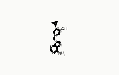 Nc1ncnc2c1ncn2CN1C[C@H](C2CC2)[C@@H](O)C1